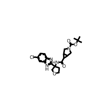 CC(C)(C)OC(=O)N1CC2C(C1)C2C(=O)NC1(c2nc3ccc(Cl)cc3[nH]2)CCOC1